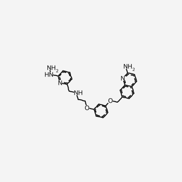 NNc1cccc(CNCCOc2cccc(OCc3ccc4ccc(N)nc4c3)c2)n1